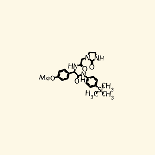 COc1ccc(C(NC(=O)CN2CCNC2=O)C(=O)Nc2ccc([Si](C)(C)C)cc2)cc1